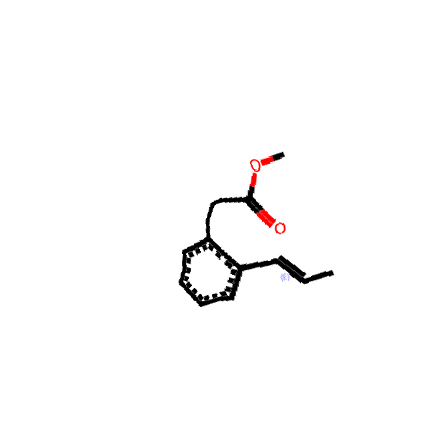 C/C=C/c1ccccc1CC(=O)OC